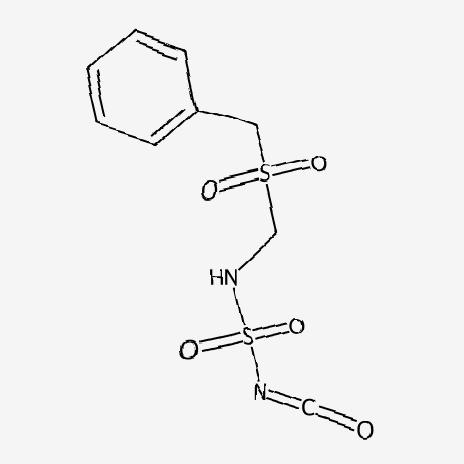 O=C=NS(=O)(=O)NCS(=O)(=O)Cc1ccccc1